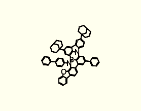 c1ccc(-c2ccc(N3B4c5c(cc(-c6ccccc6)cc5-n5c6ccc(C78CCCC(CCC7)C8)cc6c6cc(C78CCCC(CCC7)C8)cc4c65)-c4ccc5c(oc6ccccc65)c43)cc2)cc1